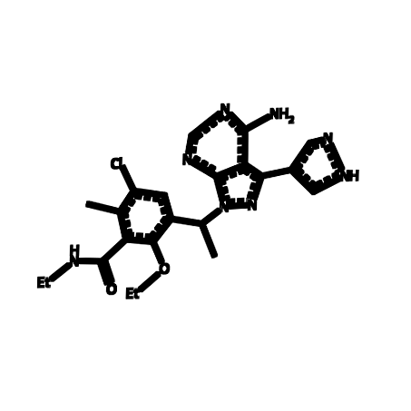 CCNC(=O)c1c(C)c(Cl)cc(C(C)n2nc(-c3cn[nH]c3)c3c(N)ncnc32)c1OCC